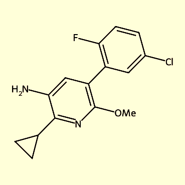 COc1nc(C2CC2)c(N)cc1-c1cc(Cl)ccc1F